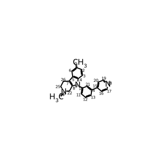 Cc1ccc2c(c1)c1c(n2-c2cccc(-c3ccncc3)c2)CN(C)CC1